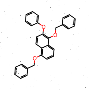 c1ccc(COc2cccc3c(OCc4ccccc4)c(Oc4ccccc4)ccc23)cc1